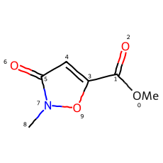 COC(=O)c1cc(=O)n(C)o1